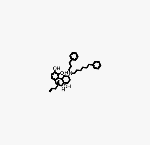 C=CCN1CC[C@]23c4c5ccc(O)c4O[C@H]2[C@@H](N(CCCCCCc2ccccc2)CCCc2ccccc2)CC[C@@]3(O)[C@H]1C5